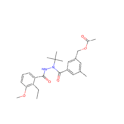 CCc1c(OC)cccc1C(=O)NN(C(=O)c1cc(C)cc(COC(C)=O)c1)C(C)(C)C